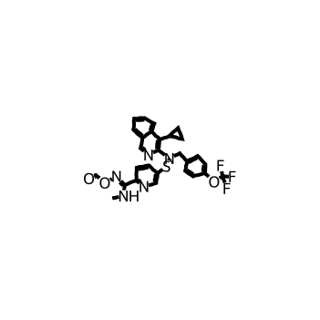 CN/C(=N\OC=O)c1ccc(SN(Cc2ccc(OC(F)(F)F)cc2)c2ncc3ccccc3c2C2CC2)cn1